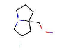 F[C@@H]1CN2CCC[C@]2(COI)C1